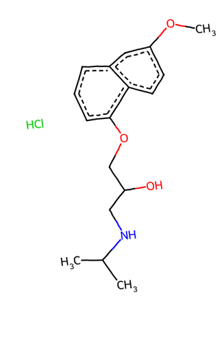 COc1ccc2c(OCC(O)CNC(C)C)cccc2c1.Cl